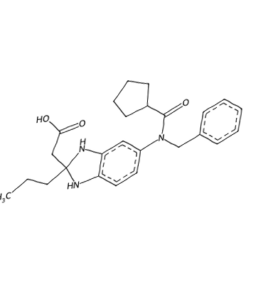 CCCC1(CC(=O)O)Nc2ccc(N(Cc3ccccc3)C(=O)C3CCCC3)cc2N1